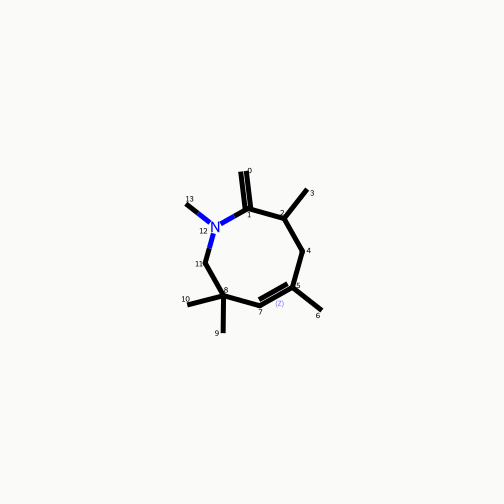 C=C1C(C)C/C(C)=C\C(C)(C)CN1C